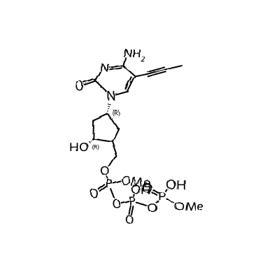 CC#Cc1cn([C@@H]2CC(COP(=O)(OC)OP(=O)(O)OP(=O)(O)OC)[C@H](O)C2)c(=O)nc1N